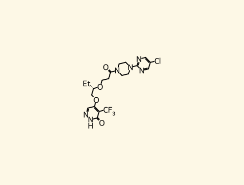 CC[C@@H](COc1cn[nH]c(=O)c1C(F)(F)F)OCCC(=O)N1CCN(c2ncc(Cl)cn2)CC1